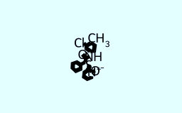 Cc1ccc(NC(=O)C(Sc2cccc[n+]2[O-])c2ccccc2)cc1Cl